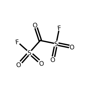 O=C(S(=O)(=O)F)S(=O)(=O)F